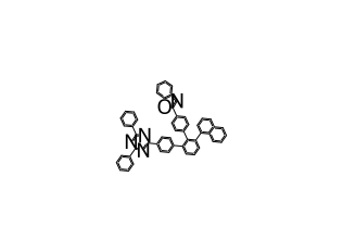 c1ccc(-c2nc(-c3ccccc3)nc(-c3ccc(-c4cccc(-c5cccc6ccccc56)c4-c4ccc(-c5nc6ccccc6o5)cc4)cc3)n2)cc1